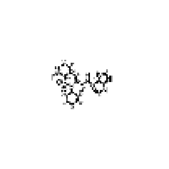 C[C@H](Nc1ncnc2[nH]cnc12)C1=Cc2cccc(F)c2S(=O)(=O)N1c1ccccc1